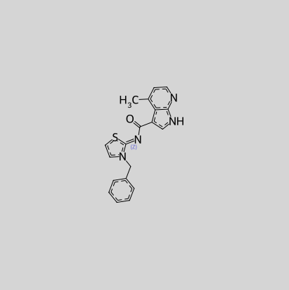 Cc1ccnc2[nH]cc(C(=O)/N=c3\sccn3Cc3ccccc3)c12